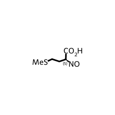 CSCC[C@H](N=O)C(=O)O